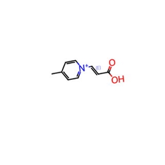 Cc1cc[n+](/C=C/C(=O)O)cc1